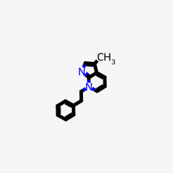 Cc1cnc2n(CCc3ccccc3)cccc1-2